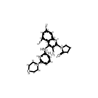 Cc1c(N2CCCC2=O)nc2cc(F)cc(F)c2c1Nc1cccc(N2CCOCC2)n1